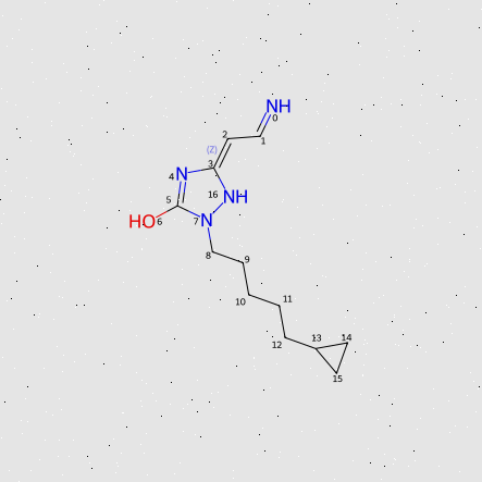 N=C/C=C1/N=C(O)N(CCCCCC2CC2)N1